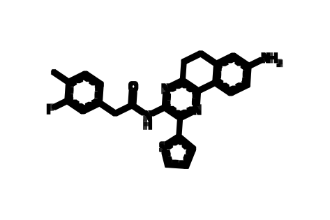 Cc1ccc(CC(=O)Nc2nc3c(nc2-c2cccs2)-c2ccc(N)cc2CC3)cc1F